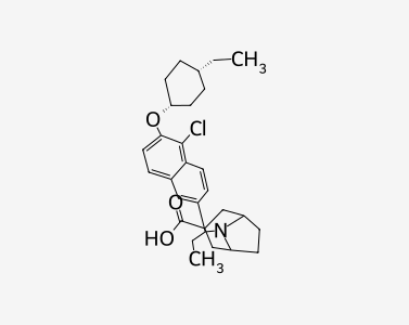 CCC(c1ccc2c(Cl)c(O[C@H]3CC[C@@H](CC)CC3)ccc2c1)N1C2CCC1CC(C(=O)O)C2